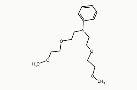 COCCOCCN(CCOCCOC)c1ccccc1